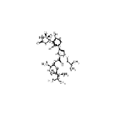 CC(C)CC[C@H]1C=C(c2ccc(O)c(N3CC(=O)NS3(=O)=O)c2F)CN1C(=O)OC(OC(=O)[C@@H](N)C(C)C)C(C)C